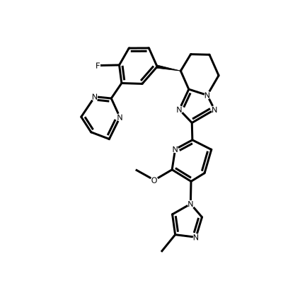 COc1nc(-c2nc3n(n2)CCC[C@@H]3c2ccc(F)c(-c3ncccn3)c2)ccc1-n1cnc(C)c1